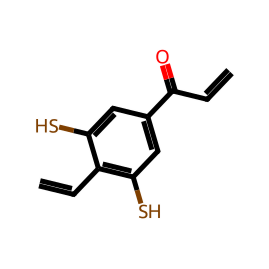 C=CC(=O)c1cc(S)c(C=C)c(S)c1